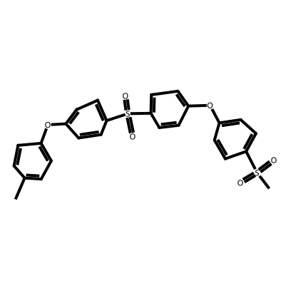 Cc1ccc(Oc2ccc(S(=O)(=O)c3ccc(Oc4ccc(S(C)(=O)=O)cc4)cc3)cc2)cc1